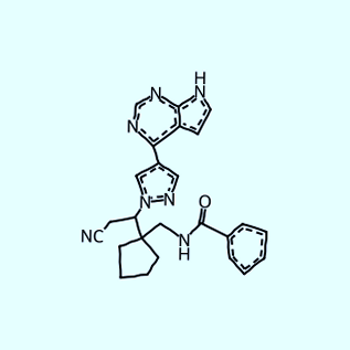 N#CCC(n1cc(-c2ncnc3[nH]ccc23)cn1)C1(CNC(=O)c2ccccc2)CCCC1